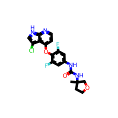 CC1(NC(=O)Nc2cc(F)c(Oc3ccnc4[nH]cc(Cl)c34)c(F)c2)CCOC1